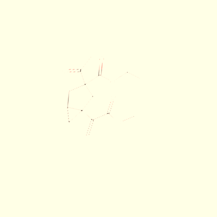 C=C(C(=O)OC)C12CC1CC(C(C)=O)(C(=O)OCC)C2